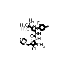 Cc1c(NC(=O)Nc2cc(C(C)(C)C)nn2-c2ccc(F)cc2F)sc(CN2CCOCC2)c1Cl